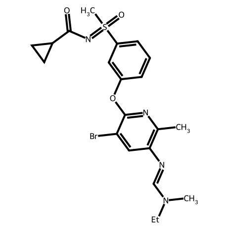 CCN(C)C=Nc1cc(Br)c(Oc2cccc(S(C)(=O)=NC(=O)C3CC3)c2)nc1C